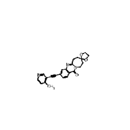 Cc1ccncc1C#Cc1ccc2c(=O)n3c(nc2c1)CCC1(CC3)OCCO1